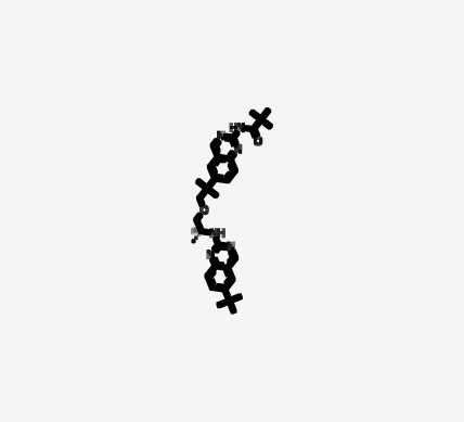 C[C@H](COCC(C)(C)c1ccc2nc(NC(=O)C(C)(C)C)ncc2c1)Nc1ncc2cc(C(C)(C)C)ccc2n1